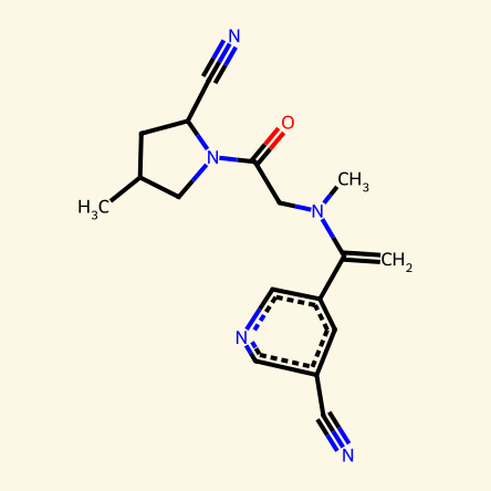 C=C(c1cncc(C#N)c1)N(C)CC(=O)N1CC(C)CC1C#N